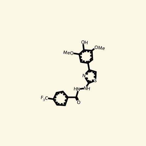 COc1cc(-c2csc(NNC(=O)c3ccc(C(F)(F)F)cc3)n2)cc(OC)c1O